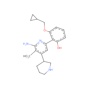 Nc1nc(-c2c(O)cccc2OCC2CC2)cc(C2CCCNC2)c1C(=O)O